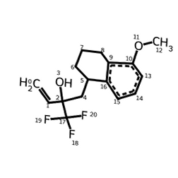 C=CC(O)(CC1CCCc2c(OC)cccc21)C(F)(F)F